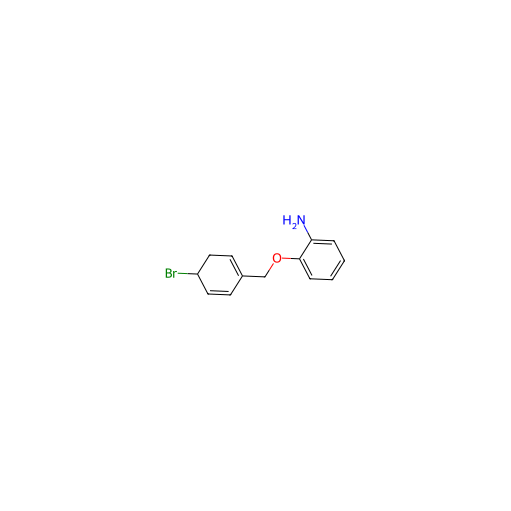 Nc1ccccc1OCC1=CCC(Br)C=C1